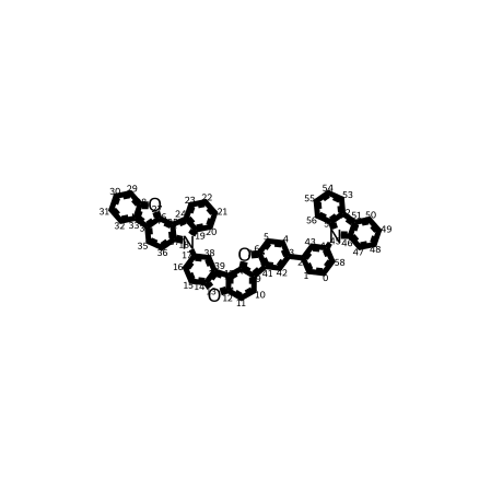 c1cc(-c2ccc3oc4c(ccc5oc6ccc(-n7c8ccccc8c8c9oc%10ccccc%10c9ccc87)cc6c54)c3c2)cc(-n2c3ccccc3c3ccccc32)c1